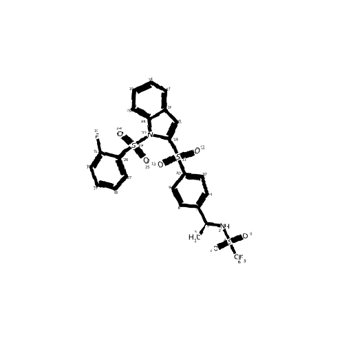 C[C@H](NS(=O)(=O)C(F)(F)F)c1ccc(S(=O)(=O)c2cc3ccccc3n2S(=O)(=O)c2ccccc2F)cc1